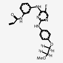 [2H]C([2H])(OC)C([2H])([2H])Oc1ccc(Nc2ncc(F)c(Nc3cccc(NC(=O)C=C)c3)n2)cc1